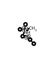 CCCC(NCc1ccccc1CS(=O)(=O)c1ccc(-c2ccccc2)cc1)P(=O)(Oc1ccccc1)OC1C=CC=CC1